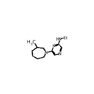 CCNc1cncc(N2CCCCC(C)C2)n1